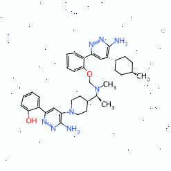 C[C@@H](C1CCN(c2cc(-c3ccccc3O)nnc2N)CC1)N(C)COc1ccccc1-c1cc([C@H]2CC[C@H](C)CC2)c(N)nn1